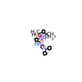 CC(C)c1cccc(C(C)C)c1NC(=O)Nc1ccccc1C(=O)NC1CCN(C(c2ccccc2)c2ccccc2)CC1